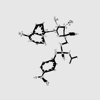 CC(C)OP(=O)(OC[C@@]1(C#N)O[C@@H](c2ccc3c(N)ncnn23)[C@H](O)[C@@H]1O)Oc1ccc([N+](=O)[O-])cc1